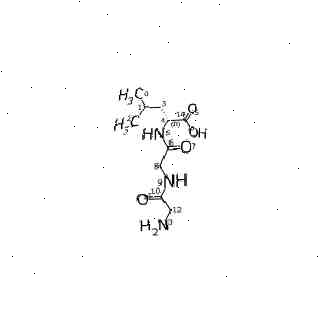 CC(C)C[C@@H](NC(=O)CNC(=O)CN)C(=O)O